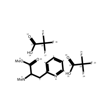 CNC(Cc1ccccn1)C(=O)OC.O=C(O)C(F)(F)F.O=C(O)C(F)(F)F